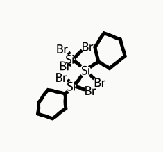 Br[Si](Br)(Br)[Si](Br)(C1CCCCC1)[Si](Br)(Br)C1CCCCC1